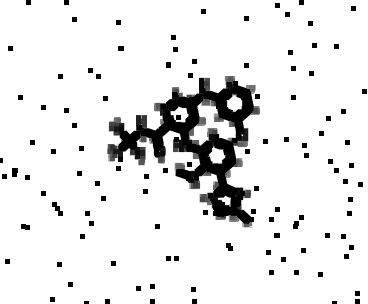 [2H]C([2H])([2H])NC(=O)c1nnc(Nc2cc(Cl)ccn2)cc1Nc1nccc(-c2ncn(C)n2)c1OC